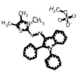 COS(=O)(=O)[O-].Cc1sc(N=Nc2c(-c3ccccc3)n(-c3ccccc3)c3ccccc23)[n+](C)c1C